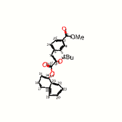 COC(=O)c1ccc(C=C(OC(C)(C)C)C(=O)Oc2cccc3ccccc23)cc1